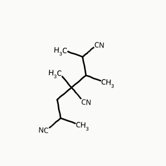 CC(C#N)CC(C)(C#N)C(C)C(C)C#N